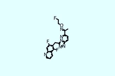 CC(=NOCCF)c1ccc2nnc(Cc3c(F)cc4ncccc4c3F)n2n1